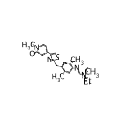 CCN(C)/C=N/c1cc(C)c(Cc2nc(-c3ccn(C)c(=O)c3)cs2)cc1C